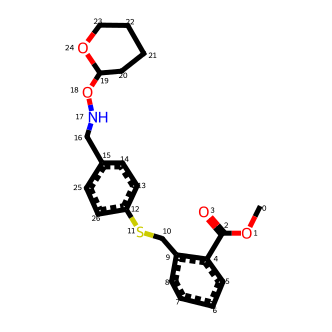 COC(=O)c1ccccc1CSc1ccc(CNOC2CCCCO2)cc1